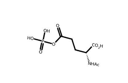 CC(=O)N[C@H](CCC(=O)OP(=O)(O)O)C(=O)O